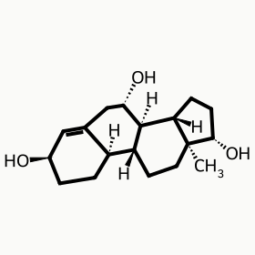 C[C@]12CC[C@H]3[C@@H]([C@@H](O)CC4=C[C@H](O)CC[C@@H]43)[C@@H]1CC[C@@H]2O